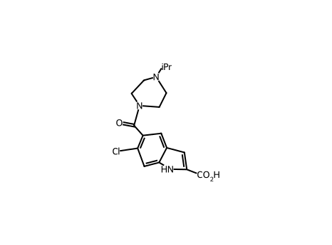 CC(C)N1CCN(C(=O)c2cc3cc(C(=O)O)[nH]c3cc2Cl)CC1